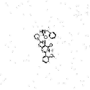 COc1ccccc1-c1nc2sc(N3CCC[C@@H]3C(=O)N[C@H](C)c3ccccc3)nc2c(=O)[nH]1